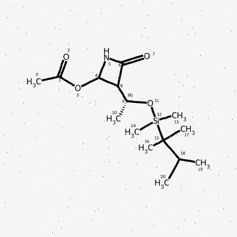 CC(=O)OC1NC(=O)C1[C@@H](C)O[Si](C)(C)C(C)(C)C(C)C